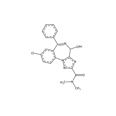 CC(=O)OC1N=C(c2ccccc2)c2cc(Cl)ccc2-n2nc(C(=O)N(C)C)nc21